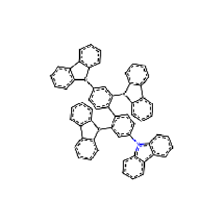 c1ccc2c(c1)B(c1ccc(-c3ccc(-n4c5ccccc5c5ccccc54)cc3B3c4ccccc4-c4ccccc43)c(B3c4ccccc4-c4ccccc43)c1)c1ccccc1-2